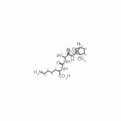 CC(C)C(NC(=O)NC(CCCCN)C(=O)O)C(=O)N[C@H]1C[C@H]2CC[C@]1(C)C2(C)C